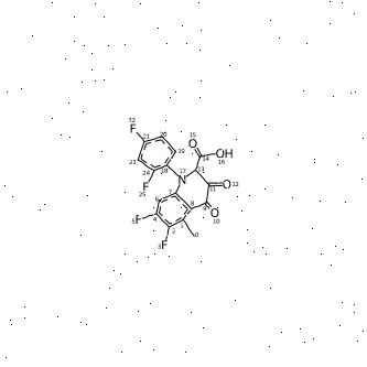 Cc1c(F)c(F)cc2c1C(=O)C(=O)C(C(=O)O)N2c1ccc(F)cc1F